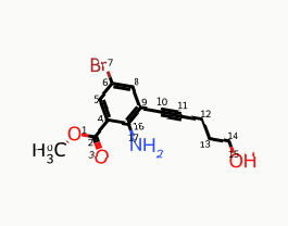 COC(=O)c1cc(Br)cc(C#CCCCO)c1N